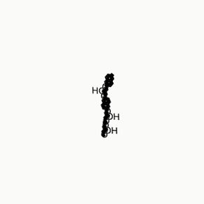 COCC(O)COCOCC(O)COc1ccc2cc(OCC(O)COc3ccc4cc(C)ccc4c3)ccc2c1